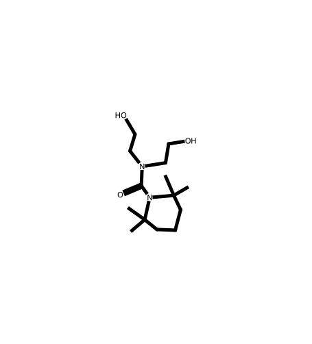 CC1(C)CCCC(C)(C)N1C(=O)N(CCO)CCO